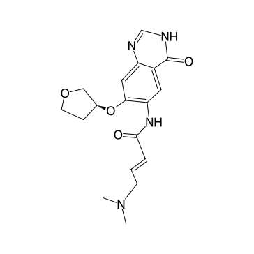 CN(C)CC=CC(=O)Nc1cc2c(=O)[nH]cnc2cc1O[C@H]1CCOC1